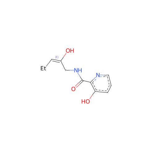 CC/C=C(/O)CNC(=O)c1ncccc1O